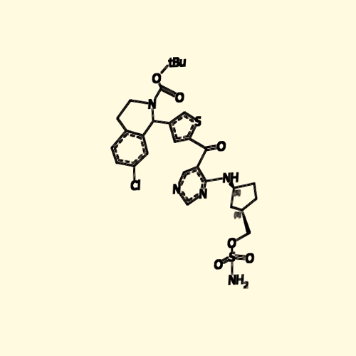 CC(C)(C)OC(=O)N1CCc2ccc(Cl)cc2C1c1csc(C(=O)c2cncnc2N[C@H]2CC[C@@H](COS(N)(=O)=O)C2)c1